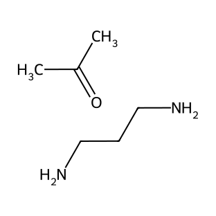 CC(C)=O.NCCCN